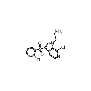 NCCn1cc(S(=O)(=O)c2ccccc2Cl)c2ccnc(Cl)c21